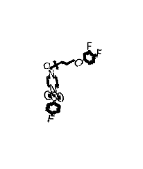 CC(C)(CCCOc1ccc(F)c(F)c1)C(=O)N1CCN(S(=O)(=O)c2ccc(F)cc2)CC1